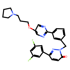 O=c1ccc(-c2cc(F)cc(F)c2)nn1Cc1cccc(-c2ncc(OCCCN3CCCC3)cn2)c1